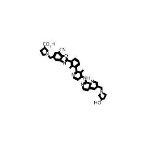 Cc1c(-c2nc3cc(CN4CC[C@@H](C(=O)O)C4)cc(C#N)c3o2)cccc1-c1nccc(Nc2nccc3cc(CN4CC[C@@H](O)C4)cnc23)c1C